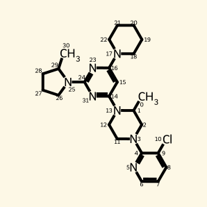 CC1CN(c2ncccc2Cl)CCN1c1cc(N2CCCCC2)nc(N2CCCC2C)n1